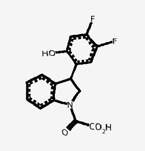 O=C(O)C(=O)N1CC(c2cc(F)c(F)cc2O)c2ccccc21